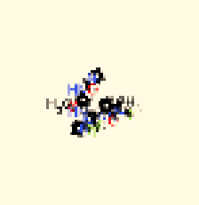 COc1cc(NC(=O)CN2CCCC2)ccc1Nc1cc(Nc2cccc3c2C(=O)N(CCF)C3C)c(C(F)(F)F)n1-c1ccccn1